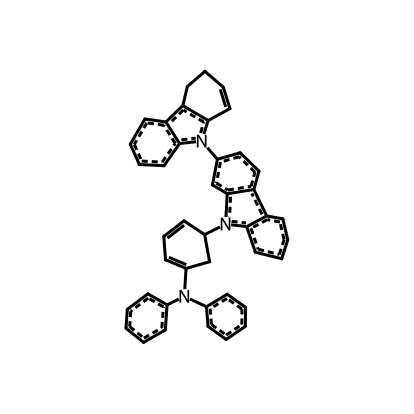 C1=CC(n2c3ccccc3c3ccc(-n4c5c(c6ccccc64)CCC=C5)cc32)CC(N(c2ccccc2)c2ccccc2)=C1